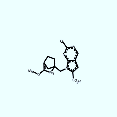 CC(C)(C)OC1=C2CCC(Cn3c(C(=O)O)cc4cnc(Cl)nc43)(C2)N1